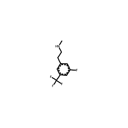 CNCCc1cc(F)cc(C(F)(F)F)c1